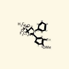 COc1ccc(C2=NC(C(F)(F)F)(S(C)(=O)=O)CN2c2ccccc2)cc1F